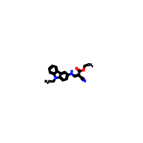 CCOC(=O)/C(C#N)=C\Nc1ccc2c(c1)c1ccccc1n2CC